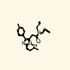 C=CCN(CC=C)C(=O)Cc1c(-c2ccc(C)cc2)nc2ccc(C)nn12